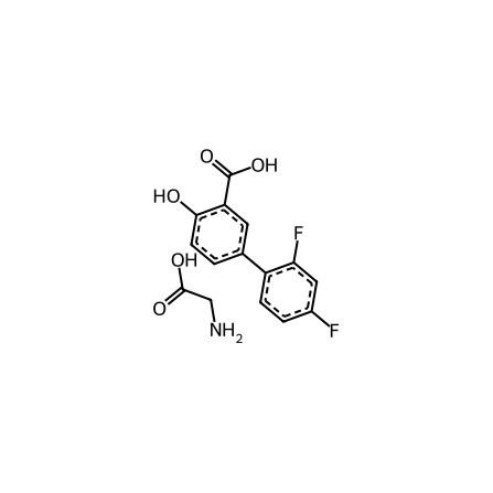 NCC(=O)O.O=C(O)c1cc(-c2ccc(F)cc2F)ccc1O